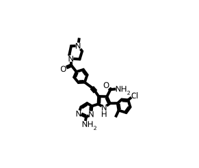 Cc1ccc(Cl)cc1-c1[nH]c(-c2ccnc(N)n2)c(C#Cc2ccc(C(=O)N3CCN(C)CC3)cc2)c1C(N)=O